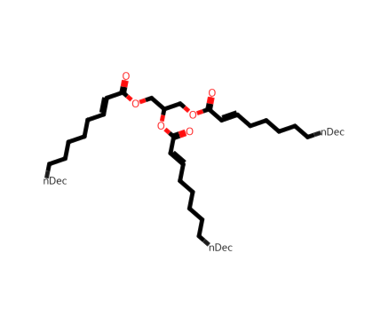 CCCCCCCCCCCCCCCC=CC(=O)OCC(COC(=O)C=CCCCCCCCCCCCCCCC)OC(=O)C=CCCCCCCCCCCCCCCC